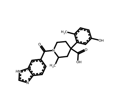 Cc1ccc(O)cc1C1(C(=O)O)CCN(C(=O)c2ccc3nc[nH]c3c2)C(C)C1